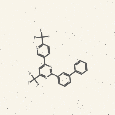 FC(F)(F)c1ccc(-c2cc(C(F)(F)F)nc(-c3cccc(-c4ccccc4)c3)n2)cn1